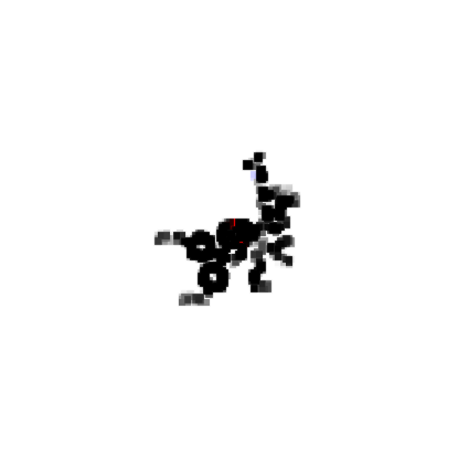 COc1ccc(C(SCC23COC(C(n4cnc5c(=O)[nH]c(/N=C/N(C)C)nc54)O2)C3OP(OCCC#N)N(C(C)C)C(C)C)(c2ccccc2)c2ccc(OC)cc2)cc1